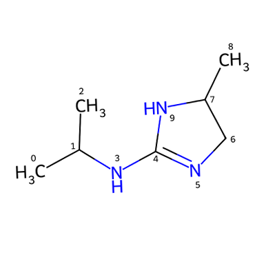 CC(C)NC1=NCC(C)N1